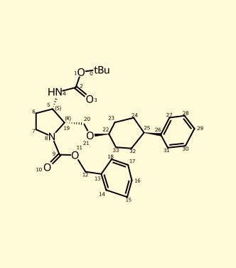 CC(C)(C)OC(=O)N[C@H]1CCN(C(=O)OCc2ccccc2)[C@H]1CO[C@H]1CC[C@@H](c2ccccc2)CC1